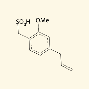 C=CCc1ccc(CS(=O)(=O)O)c(OC)c1